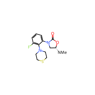 CN[C@@H]1CN(c2cccc(F)c2N2CCSCC2)C(=O)O1